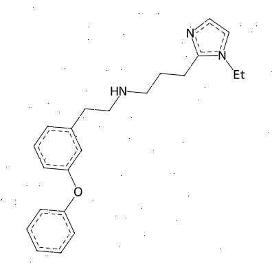 CCn1ccnc1CCCNCCc1cccc(Oc2ccccc2)c1